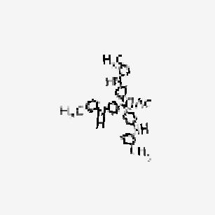 CC(=O)OC(c1ccc(Nc2cccc(C)c2)cc1)(c1ccc(Nc2cccc(C)c2)cc1)c1ccc(Nc2cccc(C)c2)cc1